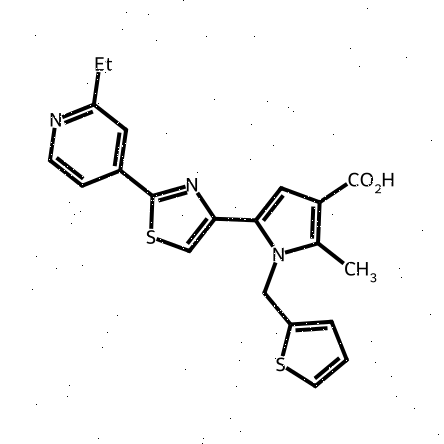 CCc1cc(-c2nc(-c3cc(C(=O)O)c(C)n3Cc3cccs3)cs2)ccn1